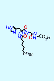 CCCCCCCCCCCCCCCC(=O)N[C@@H](Cc1c[nH]cn1)C(=O)NCC(=O)NCC(=O)O